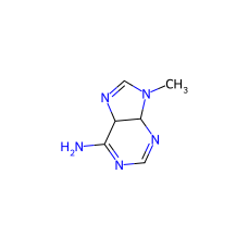 CN1C=NC2C(N)=NC=NC21